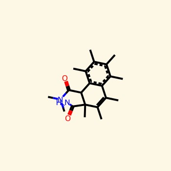 CC1=C(C)C(C)(C(N)=O)C(C(=O)N(C)C)c2c(C)c(C)c(C)c(C)c21